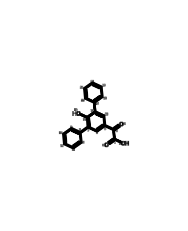 O=C(O)C(=O)c1cc(-c2ccccc2)c(O)c(-c2ccccc2)c1